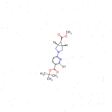 COC(=O)[C@H]1[C@@H]2CN(c3ccc(C(=O)OC(C)(C)C)c(S)n3)C[C@@H]21